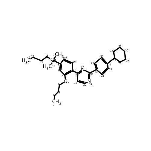 CCCCOc1cc([Si](C)(C)CCCC)ccc1-c1ccnc(-c2ccc(C3CCCCC3)cc2)n1